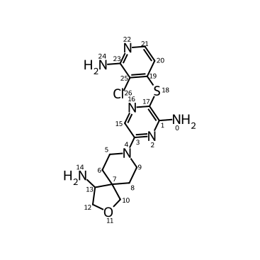 Nc1nc(N2CCC3(CC2)COCC3N)cnc1Sc1ccnc(N)c1Cl